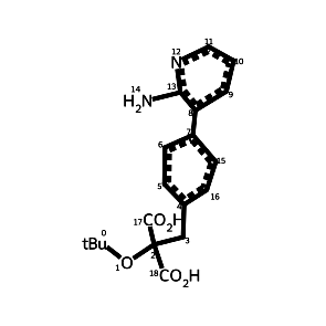 CC(C)(C)OC(Cc1ccc(-c2cccnc2N)cc1)(C(=O)O)C(=O)O